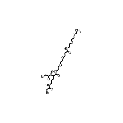 CCOCCOCCNC(=O)CCOCCOCCNC(=O)C(CCCNC(=O)CBr)NC(=O)CBr